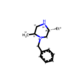 CC[C@@H]1CN(Cc2ccccc2)C(C)CN1